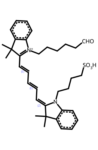 CC1(C)C(/C=C/C=C/C=C2\N(CCCCS(=O)(=O)O)c3ccccc3C2(C)C)=[N+](CCCCCC=O)c2ccccc21